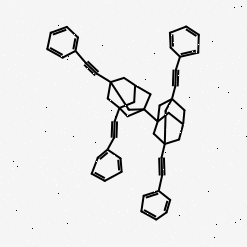 C(#CC12CC3CC(C#Cc4ccccc4)(C1)CC(C14CC5CC(C#Cc6ccccc6)(CC(C#Cc6ccccc6)(C5)C1)C4)(C3)C2)c1ccccc1